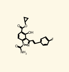 NC(=O)n1nc(C=Cc2ccc(F)cc2)c2c(O)c(C(=O)OC3CC3)ccc21